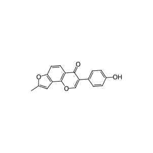 Cc1cc2c(ccc3c(=O)c(-c4ccc(O)cc4)coc32)o1